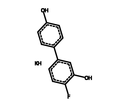 Oc1ccc(-c2ccc(F)c(O)c2)cc1.[KH]